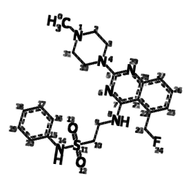 CN1CCN(c2nc(NCCS(=O)(=O)Nc3ccccc3)c3c(CF)cccc3n2)CC1